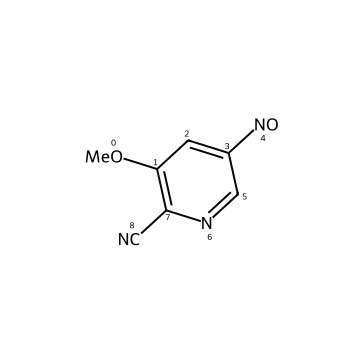 COc1cc(N=O)cnc1C#N